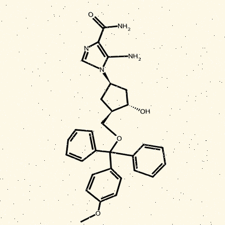 COc1ccc(C(OC[C@H]2C[C@@H](n3cnc(C(N)=O)c3N)C[C@@H]2O)(c2ccccc2)c2ccccc2)cc1